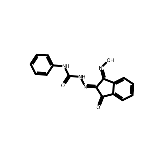 O=C(NN=c1c(=O)c2ccccc2c1=NO)Nc1ccccc1